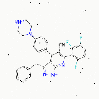 N#Cc1c(-c2c(F)ccc(F)c2F)nc2[nH]nc(Cc3ccccc3)c2c1-c1ccc(N2CCNCC2)cc1